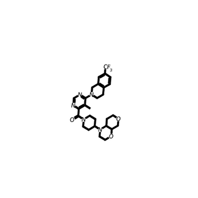 Cc1c(C(=O)N2CCC(N3CCOC4COCCC43)CC2)ncnc1N1CCc2ccc(C(F)(F)F)cc2C1